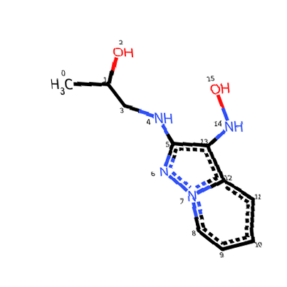 CC(O)CNc1nn2ccccc2c1NO